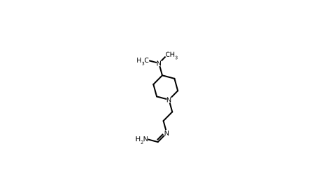 CN(C)C1CCN(CC/N=C\N)CC1